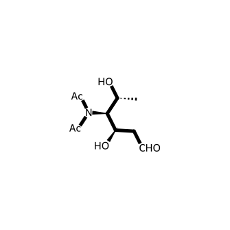 CC(=O)N(C(C)=O)[C@H]([C@H](O)CC=O)[C@@H](C)O